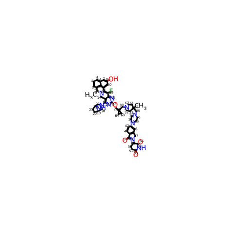 CCc1cccc2cc(O)cc(-c3ncc4c(N5CC6CCC(C5)N6)nc(OCC5(CN6CCC(C)(CN7CCN(c8ccc9c(c8)CN([C@H]8CCC(=O)NC8=O)C9=O)CC7)CC6)CC5)nc4c3F)c12